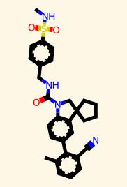 CNS(=O)(=O)c1ccc(CNC(=O)N2CC3(CCCC3)c3cc(-c4c(C)cccc4C#N)ccc32)cc1